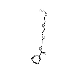 CCCCOCCOCCOCCOC(=O)c1ccccc1